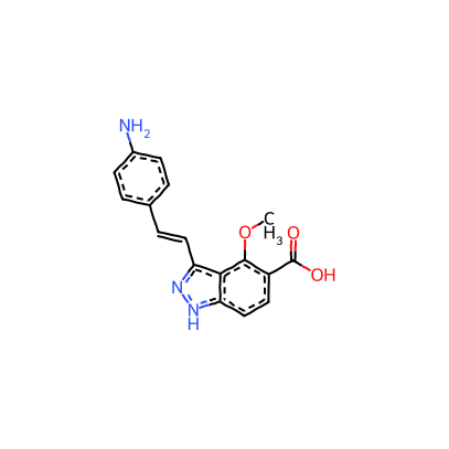 COc1c(C(=O)O)ccc2[nH]nc(C=Cc3ccc(N)cc3)c12